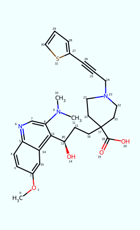 COc1ccc2ncc(N(C)C)c([C@H](O)CCC3(C(=O)O)CCN(CC#Cc4cccs4)CC3)c2c1